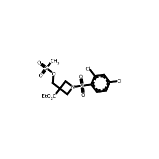 CCOC(=O)C1(COS(C)(=O)=O)CN(S(=O)(=O)c2ccc(Cl)cc2Cl)C1